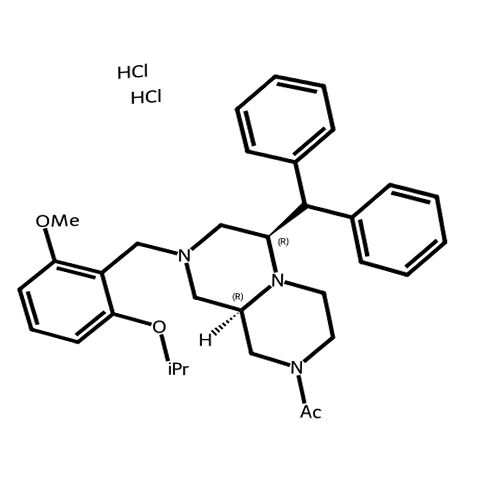 COc1cccc(OC(C)C)c1CN1C[C@@H]2CN(C(C)=O)CCN2[C@H](C(c2ccccc2)c2ccccc2)C1.Cl.Cl